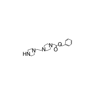 O=C(CN1CCN(CCN2CCNCC2)CC1)OCc1ccccc1